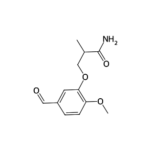 COc1ccc(C=O)cc1OCC(C)C(N)=O